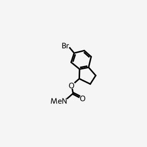 CNC(=O)OC1CCc2ccc(Br)cc21